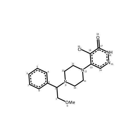 COCC(c1ccccc1)N1CCN(c2cn[nH]c(=O)c2Cl)CC1